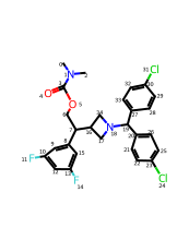 CN(C)C(=O)OCC(c1cc(F)cc(F)c1)C1CN(C(c2ccc(Cl)cc2)c2ccc(Cl)cc2)C1